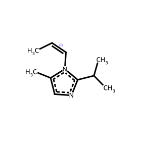 C/C=C\n1c(C)cnc1C(C)C